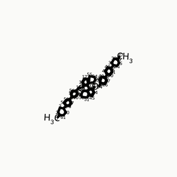 CC1CCC(c2ccc(-c3ccc(COc4ccc5c(c4-c4c(OCc6ccc(-c7ccc(C8CCC(C)CC8)cc7)cc6)ccc6c4CCCC6)CCCC5)cc3)cc2)CC1